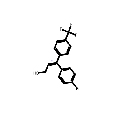 OC/C=C(\c1ccc(Br)cc1)c1ccc(C(F)(F)F)cc1